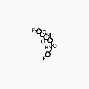 O=C(NCc1ccc(F)cc1)c1ccc2c(c1)C(=O)C(Cc1cccc(F)c1)C(=O)N2